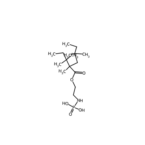 CCC(C)(C)CC(C)(C(=O)OCCNP(=O)(O)O)C(C)(C)CC